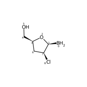 B[C@@H]1O[C@H](CO)C[C@@H]1Cl